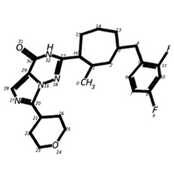 CC1CC(Cc2ccc(F)cc2F)CCCC1c1nn2c(C3CCOCC3)ncc2c(=O)[nH]1